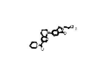 CCCN1Cc2cc(N3CCCc4cc(C(=O)N5CCCCC5)cnc43)ccc2C1=O